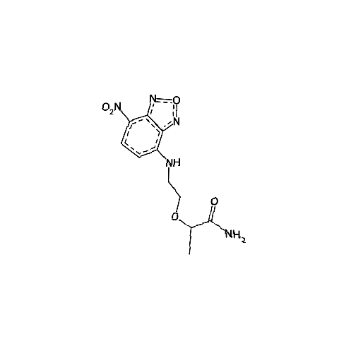 CC(OCCNc1ccc([N+](=O)[O-])c2nonc12)C(N)=O